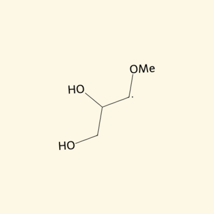 CO[CH]C(O)CO